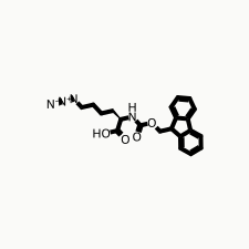 [N-]=[N+]=NCCCC[C@@H](NC(=O)OCC1c2ccccc2-c2ccccc21)C(=O)O